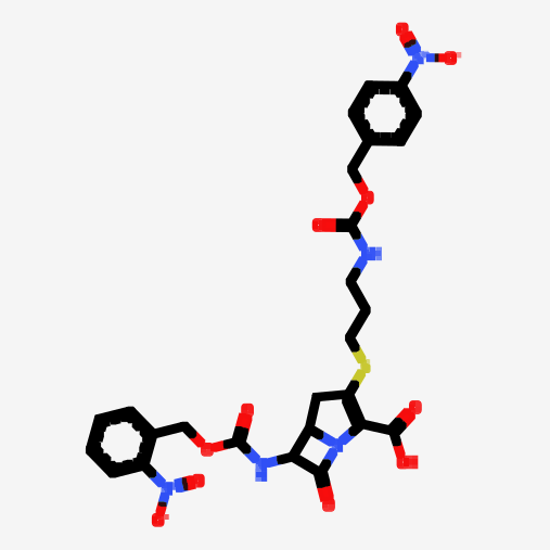 O=C(NCCCSC1=C(C(=O)O)N2C(=O)C(NC(=O)OCc3ccccc3[N+](=O)[O-])C2C1)OCc1ccc([N+](=O)[O-])cc1